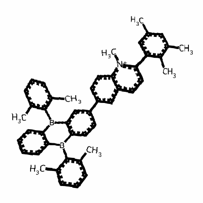 Cc1cc(C)c(C)c(-c2ccc3cc(-c4ccc5c(c4)B(c4c(C)cccc4C)c4ccccc4B5c4c(C)cccc4C)ccc3[n+]2C)c1